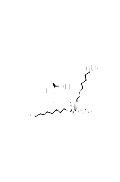 CC(O)=S.CCCCCCCCCCCCCCCCCCO[Si](CCCCCCCC)(OC)OCCCCCCCCCCCCCCCCCC